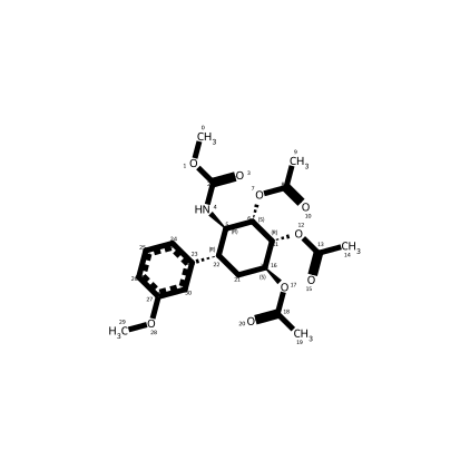 COC(=O)N[C@H]1[C@H](OC(C)=O)[C@H](OC(C)=O)[C@@H](OC(C)=O)C[C@@H]1c1cccc(OC)c1